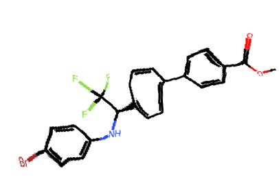 COC(=O)c1ccc(-c2ccc(C(Nc3ccc(Br)cc3)C(F)(F)F)cc2)cc1